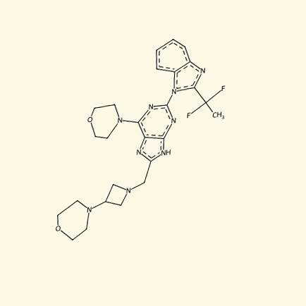 CC(F)(F)c1nc2ccccc2n1-c1nc(N2CCOCC2)c2nc(CN3CC(N4CCOCC4)C3)[nH]c2n1